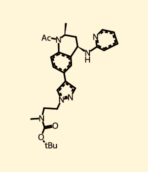 CC(=O)N1c2ccc(-c3cnn(CCN(C)C(=O)OC(C)(C)C)c3)cc2[C@H](Nc2ccccn2)C[C@@H]1C